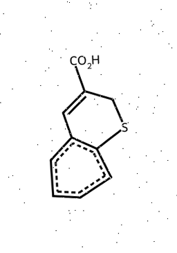 O=C(O)C1=Cc2ccccc2SC1